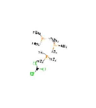 CCCCP(CCCC)CCCC.CCCCP(CCCC)CCCC.CCCCP(CCCC)CCCC.[Cl][Ir]([Cl])[Cl]